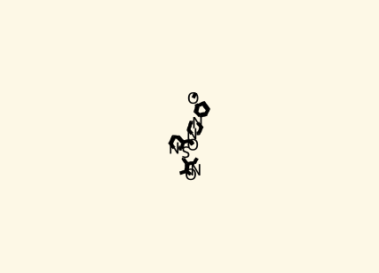 COc1cccc(N2CCN(C(=O)c3cccnc3SCc3c(C)noc3C)CC2)c1